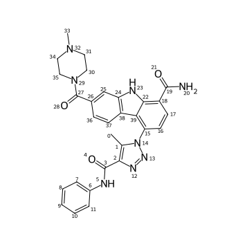 Cc1c(C(=O)Nc2ccccc2)nnn1-c1ccc(C(N)=O)c2[nH]c3cc(C(=O)N4CCN(C)CC4)ccc3c12